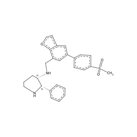 CS(=O)(=O)c1ccc(-c2cc(CN[C@H]3CCCN[C@H]3c3ccccc3)c3occc3c2)cc1